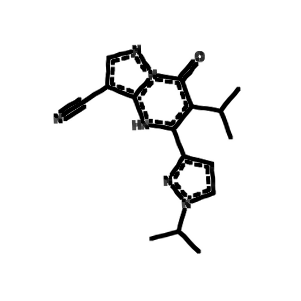 CC(C)c1c(-c2ccn(C(C)C)n2)[nH]c2c(C#N)cnn2c1=O